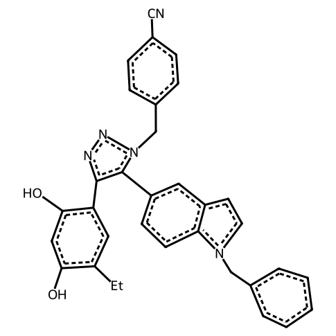 CCc1cc(-c2nnn(Cc3ccc(C#N)cc3)c2-c2ccc3c(ccn3Cc3ccccc3)c2)c(O)cc1O